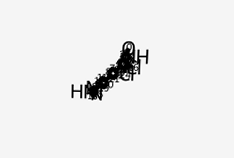 O=C1Cc2cc(-c3ccc(-c4ccc(-c5nc[nH]n5)cc4)cc3)c(Cl)c(Cl)c2N1